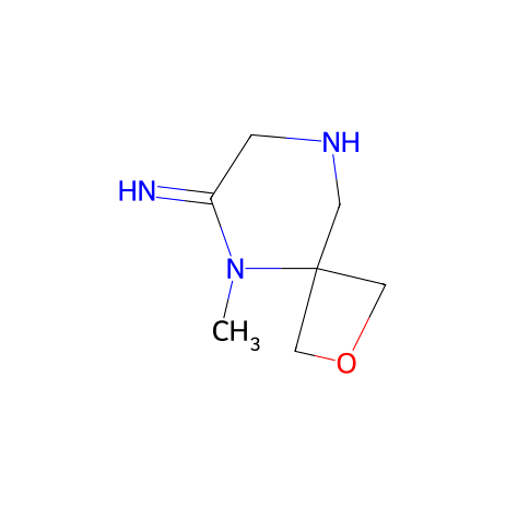 CN1C(=N)CNCC12COC2